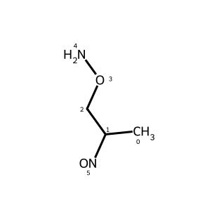 CC(CON)N=O